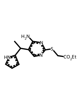 CCOC(=O)CSc1ncc(C(C)c2ccc[nH]2)c(N)n1